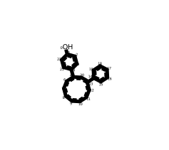 Oc1ccc(-c2cccccccc(-c3ccccc3)c2)cc1